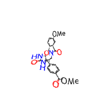 COC(=O)c1ccc([C@]2(CN3Cc4ccc(OC)cc4C3=O)NC(=O)NC2=O)cc1